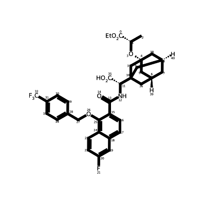 CCOC(=O)[C@H](C)O[C@]12C[C@@H]3C[C@@H](CC([C@H](NC(=O)c4ccc5cc(F)ccc5c4OCc4ccc(C(F)(F)F)cc4)C(=O)O)(C3)C1)C2